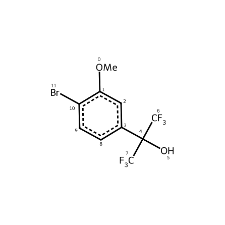 COc1cc(C(O)(C(F)(F)F)C(F)(F)F)ccc1Br